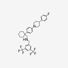 Fc1ccc(C2CCN(c3ccc(C4(CNCc5cc(C(F)(F)F)cc(C(F)(F)F)c5)CCCCC4)cc3)CC2)cc1